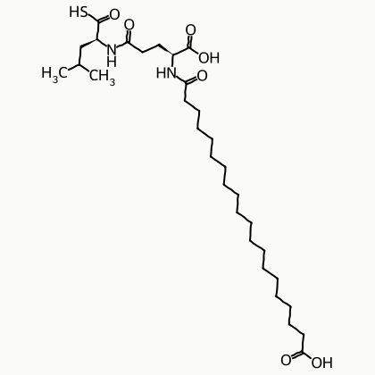 CC(C)C[C@H](NC(=O)CC[C@H](NC(=O)CCCCCCCCCCCCCCCCCCC(=O)O)C(=O)O)C(=O)S